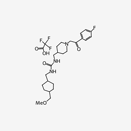 COCC1CCC(CNC(=O)NCC2CCN(CC(=O)c3ccc(F)cc3)CC2)CC1.O=C(O)C(F)(F)F